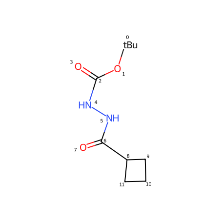 CC(C)(C)OC(=O)NNC(=O)C1CCC1